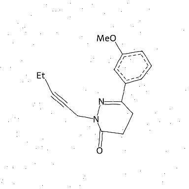 CCC#CCN1N=C(c2cccc(OC)c2)CCC1=O